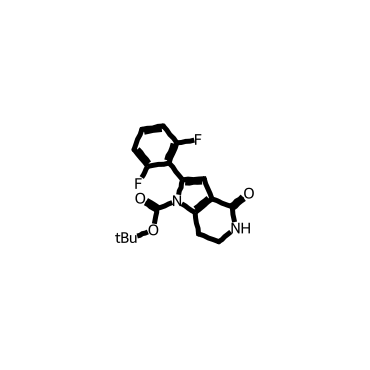 CC(C)(C)OC(=O)n1c(-c2c(F)cccc2F)cc2c1CCNC2=O